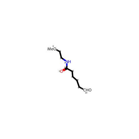 COCCNC(=O)CCCCC=O